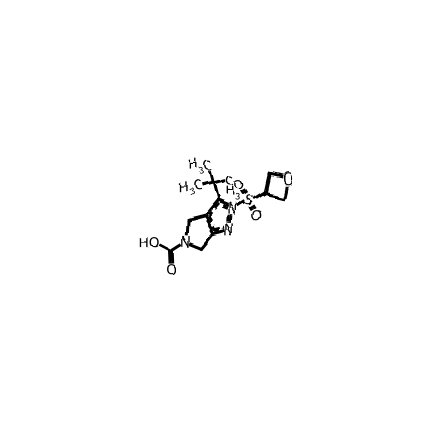 CC(C)(C)c1c2c(nn1S(=O)(=O)C1COC1)CN(C(=O)O)C2